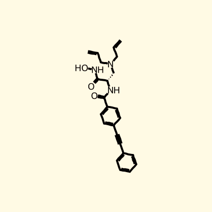 C=CCN(CC=C)C[C@H](NC(=O)c1ccc(C#Cc2ccccc2)cc1)C(=O)NO